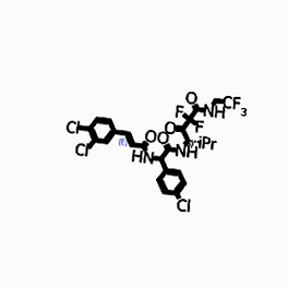 CC(C)[C@H](NC(=O)C(NC(=O)/C=C/c1ccc(Cl)c(Cl)c1)c1ccc(Cl)cc1)C(=O)C(F)(F)C(=O)NCC(F)(F)F